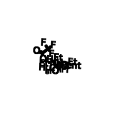 CC(C)O.CCCCCC.CCNCC.CCO.O=C(O)C(F)(F)F